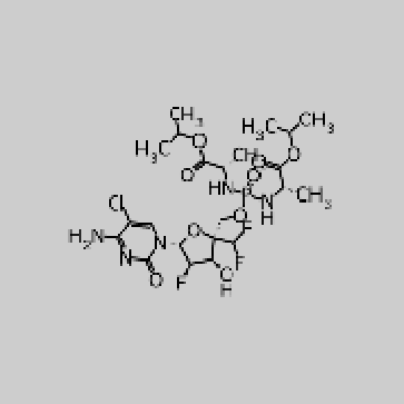 CC(C)OC(=O)[C@H](C)NP(=O)(N[C@@H](C)C(=O)OC(C)C)OC[C@@]1(C(F)F)O[C@@H](n2cc(Cl)c(N)nc2=O)[C@H](F)[C@@H]1O